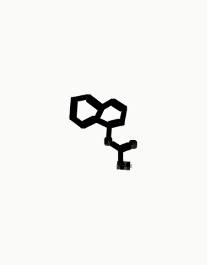 [NH]C(=O)Oc1cccc2ccccc12